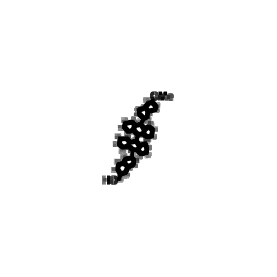 COc1ccc2cc(-c3c4ccccc4c(-c4c5ccccc5c(-c5ccc6cc(CO)ccc6c5)c5ccccc45)c4ccccc34)ccc2c1